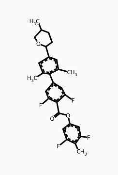 Cc1cc(C2CCC(C)CO2)cc(C)c1-c1cc(F)c(C(=O)Oc2cc(F)c(C)c(F)c2)c(F)c1